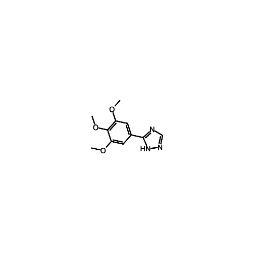 COc1cc(-c2ncn[nH]2)cc(OC)c1OC